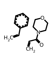 C=CC(=O)N1CCOCC1.C=Cc1ccccc1